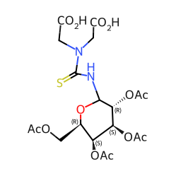 CC(=O)OC[C@H]1OC(NC(=S)N(CC(=O)O)CC(=O)O)[C@H](OC(C)=O)[C@@H](OC(C)=O)[C@H]1OC(C)=O